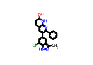 Cc1n[nH]c2c(Cl)cc(-c3cc4c(nc3-c3ccccc3)NC(O)C=C4)cc12